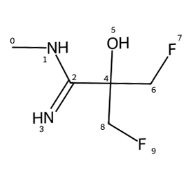 CNC(=N)C(O)(CF)CF